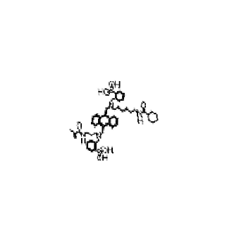 C=C(C)C(=O)NCCCN(Cc1ccccc1B(O)O)Cc1c2ccccc2c(CN(CCCCCCNC(=O)C2CCCCC2)Cc2ccccc2B(O)O)c2ccccc12